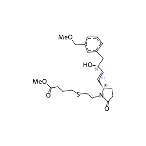 COCc1cccc(C[C@H](O)/C=C/[C@H]2CCC(=O)N2CCSCCCC(=O)OC)c1